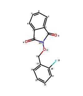 O=C1c2ccccc2C(=O)N1OCc1ccccc1F